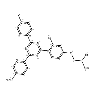 CCCCC(CC)COc1ccc(-c2nc(-c3ccc(C)cc3)nc(-c3ccc(OC)cc3)n2)c(O)c1